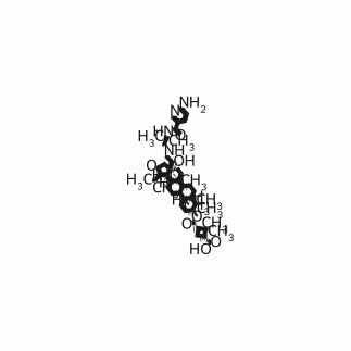 CC(C)C1=C2[C@H]3CC[C@@H]4[C@@]5(C)CC[C@H](OC(=O)[C@H]6C[C@@H](C(=O)O)C6(C)C)C(C)(C)[C@@H]5CC[C@@]4(C)[C@]3(C)CC[C@@]2([C@@H](O)CNCC(C)(C)NC(=O)c2ccc(N)nc2)CC1=O